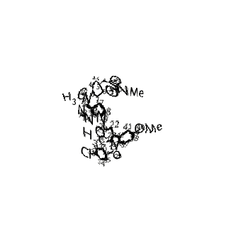 CNS(=O)(=O)C[C@H]1CC[C@H](N(C)c2ncnc3c2ccn3C(=O)Cc2c(C)n(C(=O)c3ccc(Cl)cc3)c3ccc(OC)cc23)CC1